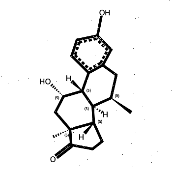 C[C@@H]1Cc2cc(O)ccc2[C@@H]2[C@@H]1[C@@H]1CCC(=O)[C@@]1(C)C[C@@H]2O